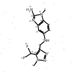 Cn1nnc(CNc2ccc3c(c2)nc(N)n3C)c1C(F)F